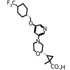 CC1(C(=O)O)CC1[C@H]1CN(c2cncc(OC[C@H]3CC[C@H](C(F)(F)F)CC3)c2)CCO1